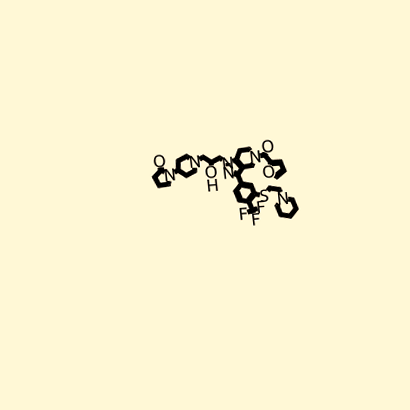 O=C(c1ccco1)N1CCc2c(c(-c3ccc(C(F)(F)F)c(SCCN4CCCCC4)c3)nn2CC(O)CN2CCC(N3CCCC3=O)CC2)C1